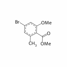 COC(=O)c1c(C)cc(Br)cc1OC